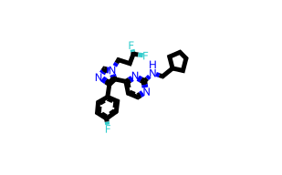 Fc1ccc(-c2ncn(CCC(F)F)c2-c2ccnc(NCC3CCCC3)n2)cc1